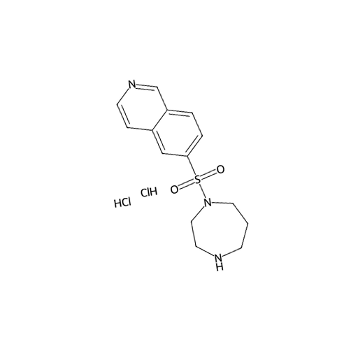 Cl.Cl.O=S(=O)(c1ccc2cnccc2c1)N1CCCNCC1